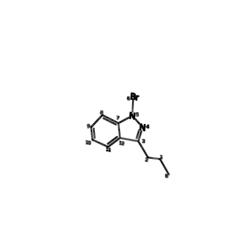 CCCc1nn(Br)c2ccccc12